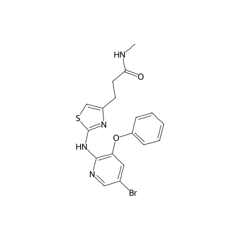 CNC(=O)CCc1csc(Nc2ncc(Br)cc2Oc2ccccc2)n1